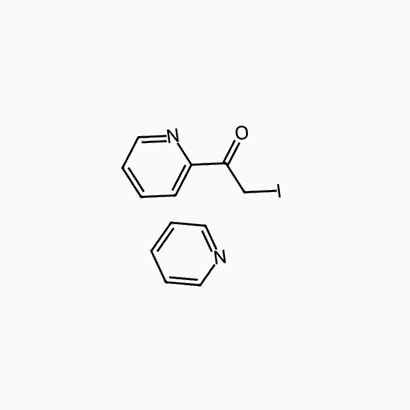 O=C(CI)c1ccccn1.c1ccncc1